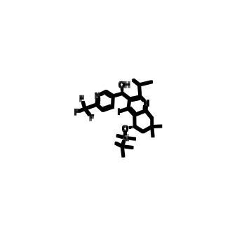 CC(C)c1nc2c(c(I)c1[C@H](O)c1ccc(C(F)(F)F)nc1)[C@@H](O[Si](C)(C)C(C)(C)C)CC(C)(C)C2